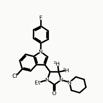 [2H]C1([2H])C(c2cn(-c3ccc(F)cc3)c3ccc(Cl)cc23)N(CC)C(=O)N1N1CCCCC1